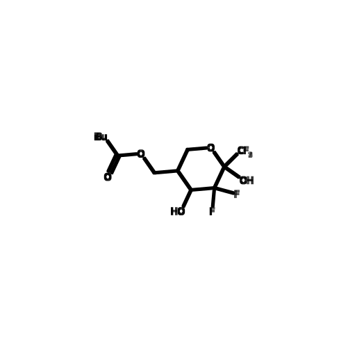 CCC(C)C(=O)OCC1COC(O)(C(F)(F)F)C(F)(F)C1O